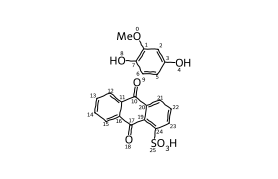 COc1cc(O)ccc1O.O=C1c2ccccc2C(=O)c2c1cccc2S(=O)(=O)O